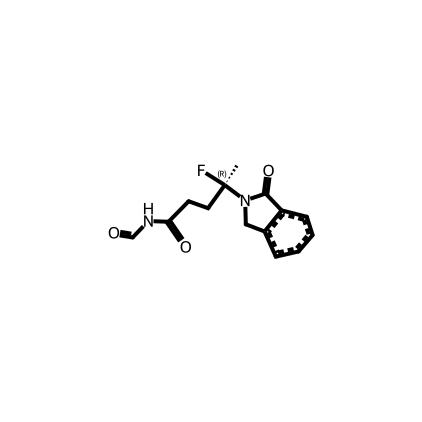 C[C@@](F)(CCC(=O)NC=O)N1Cc2ccccc2C1=O